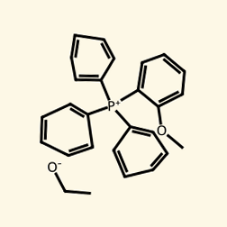 CC[O-].COc1ccccc1[P+](c1ccccc1)(c1ccccc1)c1ccccc1